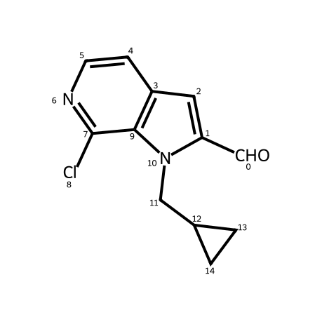 O=Cc1cc2ccnc(Cl)c2n1CC1CC1